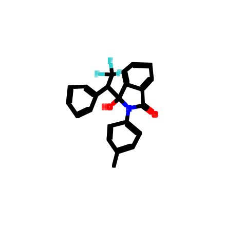 Cc1ccc(N2C(=O)c3ccccc3C2(O)C(c2ccccc2)C(F)(F)F)cc1